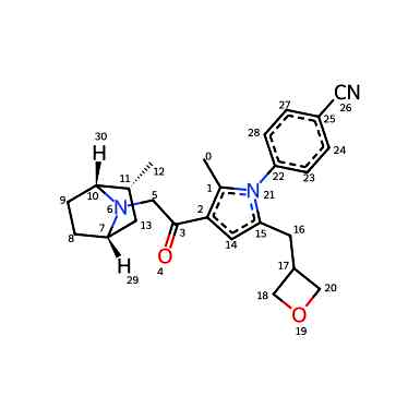 Cc1c(C(=O)CN2[C@H]3CC[C@@H]2[C@H](C)C3)cc(CC2COC2)n1-c1ccc(C#N)cc1